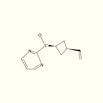 C=C[C@H]1C[C@@H]([S+]([O-])c2ncccn2)C1